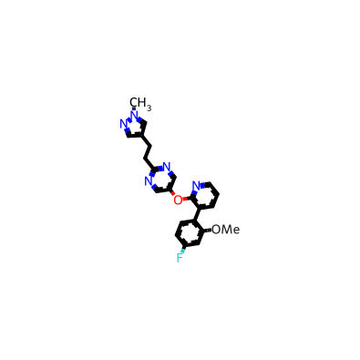 COc1cc(F)ccc1-c1cccnc1Oc1cnc(CCc2cnn(C)c2)nc1